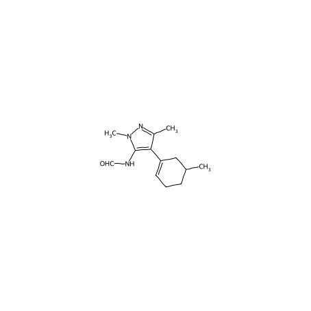 Cc1nn(C)c(NC=O)c1C1=CCCC(C)C1